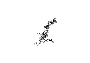 Cc1ccc2c(c1)N1C(=CC2C)CS/C1=N\C(=O)ON(C)Cc1ccc(-c2ncn(-c3ccc(OC(F)(F)F)cc3)n2)cc1